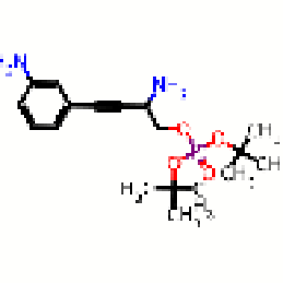 CC(C)(C)OP(=O)(OCC(N)C#Cc1cccc(N)c1)OC(C)(C)C